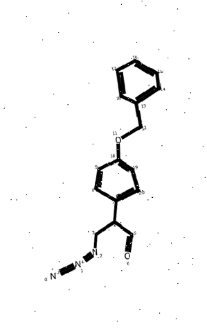 [N-]=[N+]=NCC(C=O)c1ccc(OCc2ccccc2)cc1